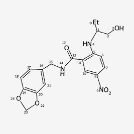 CCC(CO)Nc1ccc([N+](=O)[O-])cc1C(=O)NCc1ccc2c(c1)OCO2